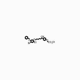 CCOC(=O)COc1ccc(C(C#N)CCCCCOc2cc(OCc3ccccc3)c(Br)cc2CC)cc1